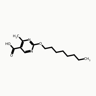 CCCCCCCCOc1ncc(C(=O)O)c(C)n1